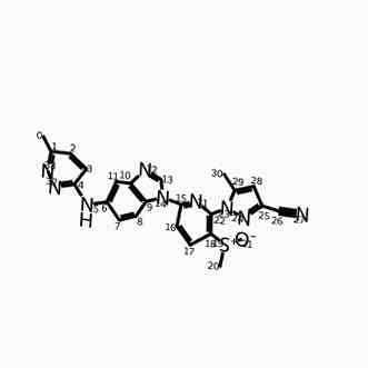 Cc1ccc(Nc2ccc3c(c2)ncn3-c2ccc([S+](C)[O-])c(-n3nc(C#N)cc3C)n2)nn1